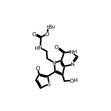 CC(C)(C)OC(=O)NCCn1c(-c2sccc2Cl)c(CO)c2nc[nH]c(=O)c21